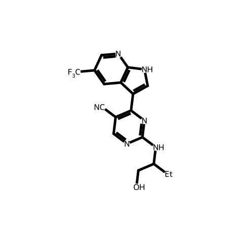 CCC(CO)Nc1ncc(C#N)c(-c2c[nH]c3ncc(C(F)(F)F)cc23)n1